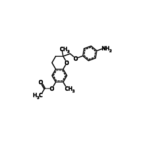 CC(=O)Oc1cc2c(cc1C)OC(C)(COc1ccc(N)cc1)CC2